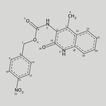 Cc1c(NC(=O)OCc2ccc([N+](=O)[O-])cc2)c(=O)[nH]c2ccccc12